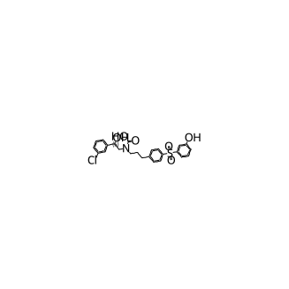 O=C(O)N(CCCc1ccc(S(=O)(=O)c2cccc(O)c2)cc1)C[C@@H](O)c1cccc(Cl)c1